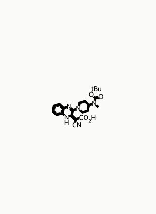 CN(C(=O)OC(C)(C)C)C1CCN(C2=Nc3ccccc3NC2=C(C#N)C(=O)O)CC1